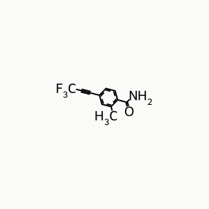 Cc1cc(C#CC(F)(F)F)ccc1C(N)=O